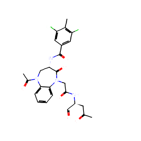 CC(=O)C[C@@H](C=O)NC(=O)CN1C(=O)[C@@H](NC(=O)c2cc(Cl)c(C)c(Cl)c2)CN(C(C)=O)c2ccccc21